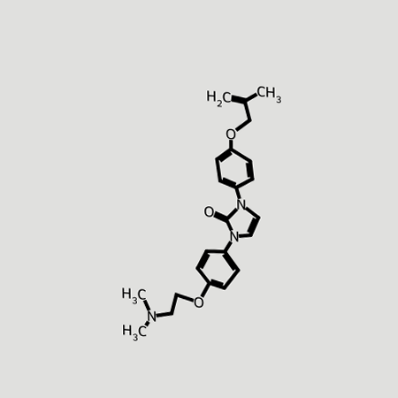 C=C(C)COc1ccc(-n2ccn(-c3ccc(OCCN(C)C)cc3)c2=O)cc1